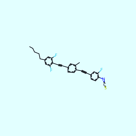 CCCCCc1cc(F)c(C#Cc2ccc(C#Cc3ccc(N=C=S)c(F)c3)c(C)c2)c(F)c1